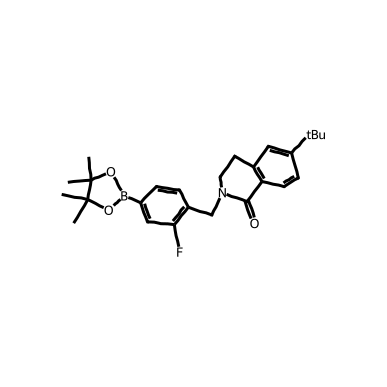 CC(C)(C)c1ccc2c(c1)CCN(Cc1ccc(B3OC(C)(C)C(C)(C)O3)cc1F)C2=O